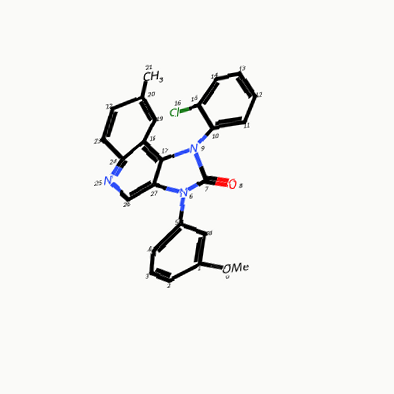 COc1cccc(-n2c(=O)n(-c3ccccc3Cl)c3c4cc(C)ccc4ncc32)c1